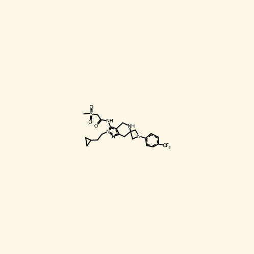 CS(=O)(=O)CC(=O)Nc1c2c(nn1CCC1CC1)CC1(CN(c3ccc(C(F)(F)F)cc3)C1)NC2